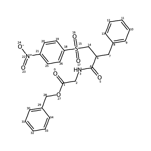 O=C(CNC(=O)C(Cc1ccccc1)CS(=O)(=O)c1ccc([N+](=O)[O-])cc1)OCc1ccccc1